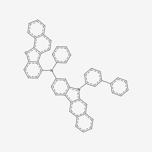 c1ccc(-c2cccc(-n3c4cc(N(c5ccccc5)c5cccc6oc7c8ccccc8ccc7c56)ccc4c4cc5ccccc5cc43)c2)cc1